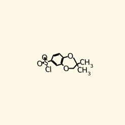 CC1(C)COc2ccc(S(=O)(=O)Cl)cc2OC1